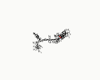 CC1=C(C)C(=O)C(C(C)(C)CC(=O)N(C)CCN(CCOCCOCCC(=O)NCCCCC(NC(=O)CC[C@@H](C)[C@@]2(N)CC[C@]3(N)[C@@H]2[C@@H](C)C[C@]2(N)[C@@]4(C)CC[C@@H](C)C[C@@]4(N)CC[C@]23N)C(=O)O)C(=O)Oc2ccc3nc(C#N)sc3c2)=C(C)C1=O